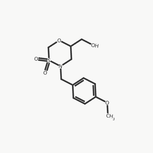 COc1ccc(CN2CC(CO)OCS2(=O)=O)cc1